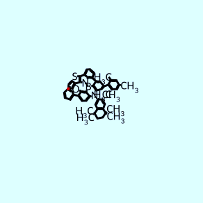 Cc1cc(C)c(-c2cc3c4c(c2)N(c2cc5c(cc2C)C(C)(C)CCC5(C)C)c2ccc5c(oc6ccccc65)c2B4n2c4c-3cccc4c3sc4ccccc4c32)c(C)c1